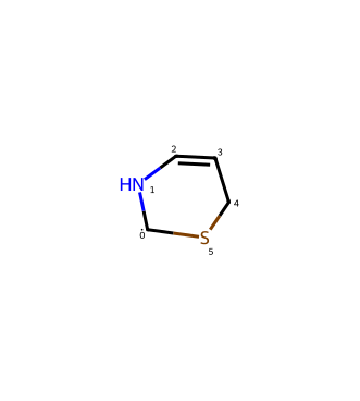 [CH]1NC=CCS1